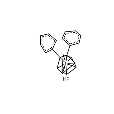 F.c1ccc([C]23[CH]4[CH]5[CH]6[C]2(c2ccccc2)[Ti]54632789[CH]3[CH]2[CH]7[CH]8[CH]39)cc1